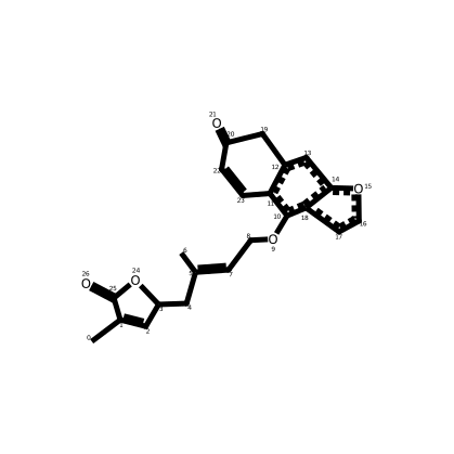 CC1=CC(C/C(C)=C/COc2c3c(cc4occc24)CC(=O)C=C3)OC1=O